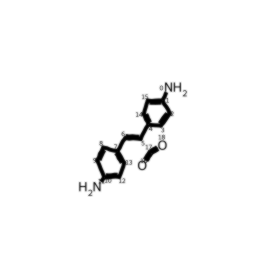 Nc1ccc(C=Cc2ccc(N)cc2)cc1.O=C=O